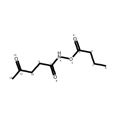 CCCC(=O)ONC(=O)CCC(C)=O